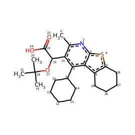 Cc1nc2sc3c(c2c(C2CCCCC2)c1C(OC(C)(C)C)C(=O)O)CCCC3